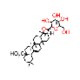 CC1(C)CC[C@]2(C(=O)O)CC[C@]3(C)C(=CCC4[C@@]5(C)CC[C@@H]6[C@H]([C@@H]7OC(CO)[C@@H](O)C(O)C7O)O[C@@]6(C)C5CC[C@]43C)C2C1